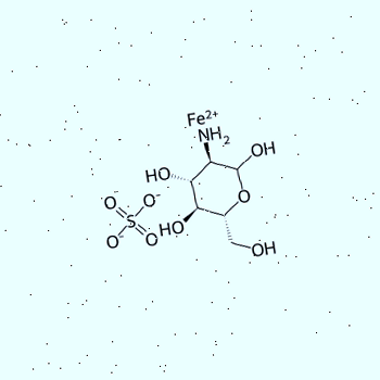 N[C@H]1C(O)O[C@H](CO)[C@@H](O)[C@@H]1O.O=S(=O)([O-])[O-].[Fe+2]